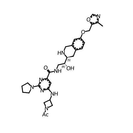 CC(=O)N1CC(Nc2cc(C(=O)NC[C@@H](O)[C@@H]3Cc4ccc(OCc5ocnc5C)cc4CN3)nc(N3CCCC3)n2)C1